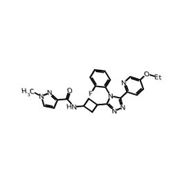 CCOc1ccc(-c2nnc(C3CC(NC(=O)c4ccn(C)n4)C3)n2-c2ccccc2F)nc1